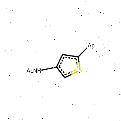 CC(=O)Nc1csc(C(C)=O)c1